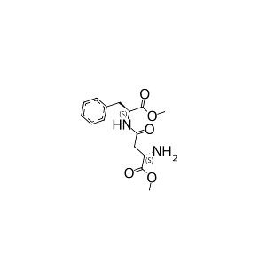 COC(=O)[C@H](Cc1ccccc1)NC(=O)C[C@H](N)C(=O)OC